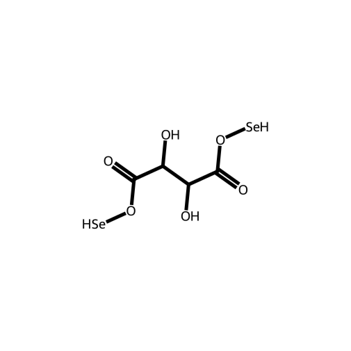 O=C(O[SeH])C(O)C(O)C(=O)O[SeH]